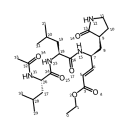 CCOC(=O)/C=C/[C@H](C[C@@H]1CCNC1=O)NC(=O)[C@H](CC(C)C)NC(=O)[C@H](CC(C)C)NC(C)=O